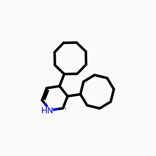 [C]1NC=CC(C2CCCCCCC2)C1C1CCCCCCC1